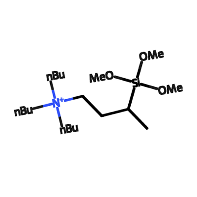 CCCC[N+](CCCC)(CCCC)CCC(C)[Si](OC)(OC)OC